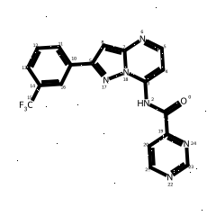 O=C(Nc1ccnc2cc(-c3cccc(C(F)(F)F)c3)nn12)c1ccncn1